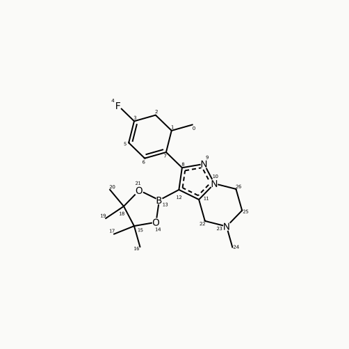 CC1CC(F)=CC=C1c1nn2c(c1B1OC(C)(C)C(C)(C)O1)CN(C)CC2